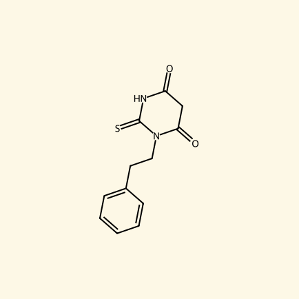 O=C1CC(=O)N(CCc2ccccc2)C(=S)N1